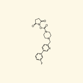 O=C(ON1C(=O)CCC1=O)N1CCN(Cc2ccc(-c3cccc(F)c3)cn2)CC1